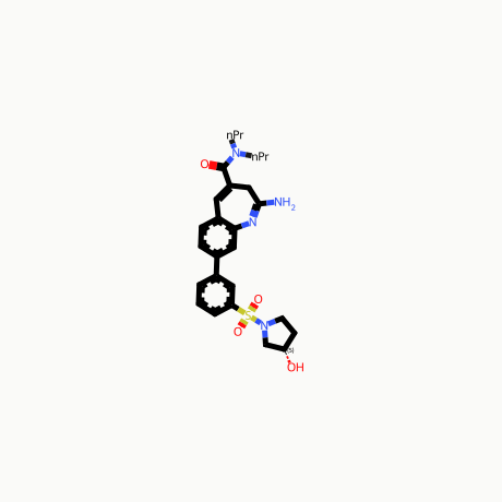 CCCN(CCC)C(=O)C1=Cc2ccc(-c3cccc(S(=O)(=O)N4CC[C@H](O)C4)c3)cc2N=C(N)C1